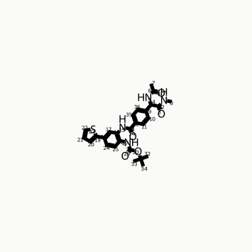 CNC(=O)C(NC(C)=O)c1ccc(C(=O)Nc2cc(-c3cccs3)ccc2NC(=O)OC(C)(C)C)cc1